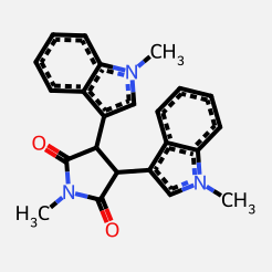 CN1C(=O)C(c2cn(C)c3ccccc23)C(c2cn(C)c3ccccc23)C1=O